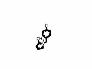 Cc1cccn1Cc1ccc(Cl)cc1